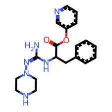 NC(=NN1CCNCC1)NC(Cc1ccccc1)C(=O)Oc1cccnc1